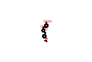 CC(C)Oc1cccc(C=C2CCc3c2oc2ccc(C(=O)O)cc2c3=O)c1